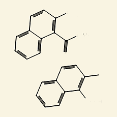 COC(=O)c1c(C(=O)O)ccc2ccccc12.Cc1ccc2ccccc2c1C(=O)O